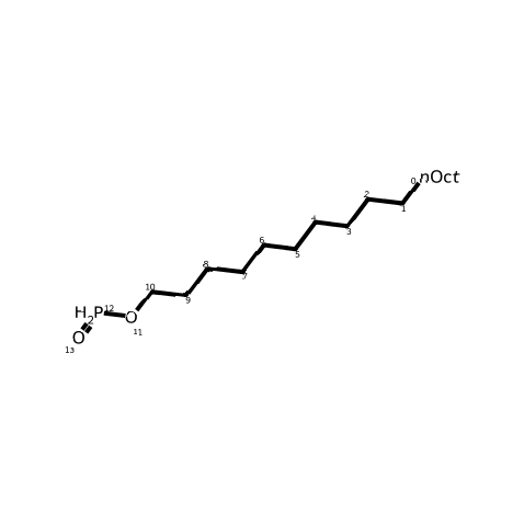 CCCCCCCCCCCCCCCCCCO[PH2]=O